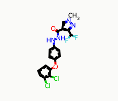 Cn1cc(C(=O)NNc2ccc(Oc3cccc(Cl)c3Cl)cc2)c(C(F)F)n1